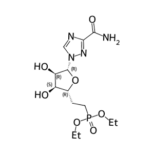 CCOP(=O)(CC[C@H]1O[C@@H](n2cnc(C(N)=O)n2)[C@H](O)[C@@H]1O)OCC